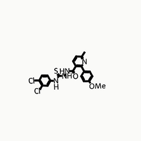 COc1ccc(-c2nc(C)ccc2C(=O)NNC(=S)Nc2ccc(Cl)c(Cl)c2)cc1